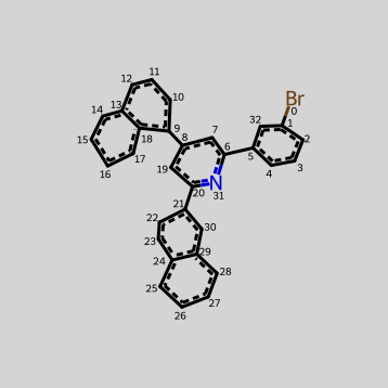 Brc1cccc(-c2cc(-c3cccc4ccccc34)cc(-c3ccc4ccccc4c3)n2)c1